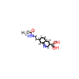 CC(=O)NCCc1ccc2cc(B(O)O)cnc2c1